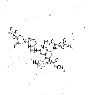 C=CC(=O)Nc1cc(N2C[C@H](CS(C)(=O)=O)[C@H]2C)c2cnc(Nc3ccnc(N4CC[C@@H](OC(F)(F)F)[C@@H](F)C4)n3)cc2c1C(C)C